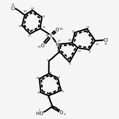 O=C(O)c1ccc(Cc2cc3cc(Cl)ccc3n2S(=O)(=O)c2ccc(Cl)cc2)cc1